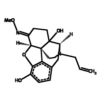 C=CCN1CC[C@]23c4c5ccc(O)c4O[C@H]2C(=NOC)CCC3(O)[C@H]1C5